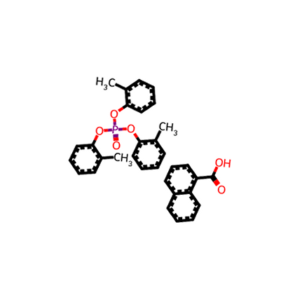 Cc1ccccc1OP(=O)(Oc1ccccc1C)Oc1ccccc1C.O=C(O)c1cccc2ccccc12